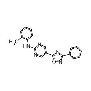 Cc1ccccc1Nc1ncc(-c2nc(-c3ccccc3)no2)cn1